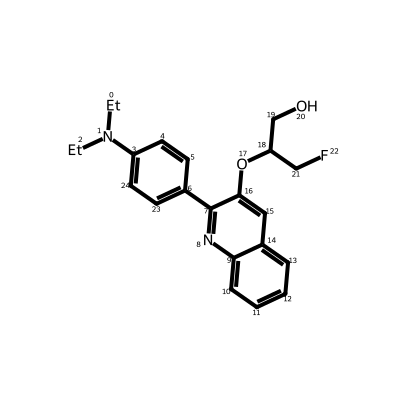 CCN(CC)c1ccc(-c2nc3ccccc3cc2OC(CO)CF)cc1